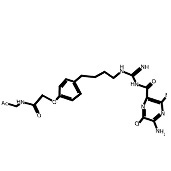 CC(=O)CNC(=O)COc1ccc(CCCCNC(=N)NC(=O)c2nc(Cl)c(N)nc2N)cc1